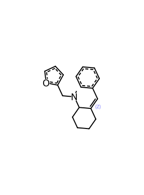 CN(Cc1ccco1)C1CCCC/C1=C/c1ccccc1